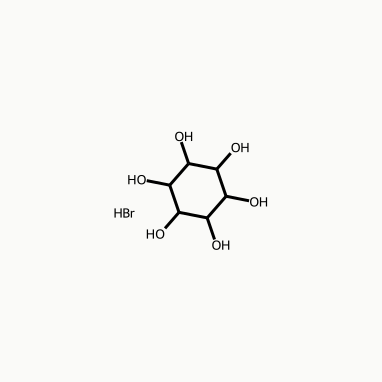 Br.OC1C(O)C(O)C(O)C(O)C1O